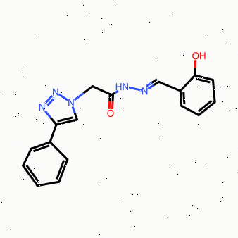 O=C(Cn1cc(-c2ccccc2)nn1)N/N=C/c1ccccc1O